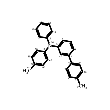 Cc1ccc(-c2cccc(N(c3ccccc3)c3ccc(C)cc3)c2)cc1